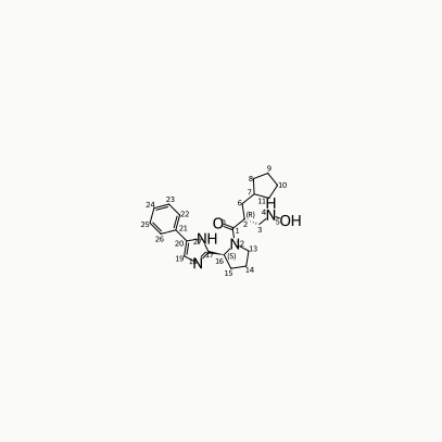 O=C([C@@H](CNO)CC1CCCC1)N1CCC[C@H]1c1ncc(-c2ccccc2)[nH]1